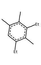 CCc1cc(C)c(C)c(CC)c1C